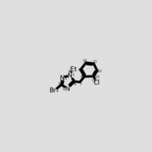 CCn1nc(Br)nc1Cc1ccccc1Cl